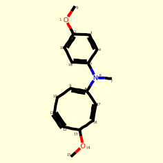 COc1ccc(N(C)C2=C/CC#CC(OC)/C=C\2)cc1